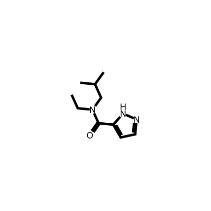 CCN(CC(C)C)C(=O)c1ccn[nH]1